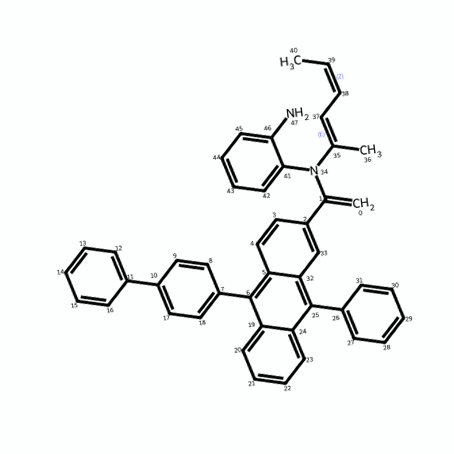 C=C(c1ccc2c(-c3ccc(-c4ccccc4)cc3)c3ccccc3c(-c3ccccc3)c2c1)N(/C(C)=C/C=C\C)c1ccccc1N